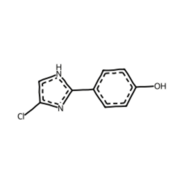 Oc1ccc(-c2nc(Cl)c[nH]2)cc1